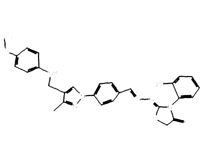 Cc1nn(-c2ccc(/C=N/N=C3\SCC(=O)N3c3ccccc3C(C)C)cc2)cc1CNc1ccc(OC(F)(F)F)cc1